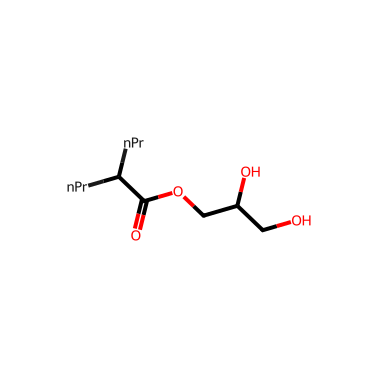 CCCC(CCC)C(=O)OCC(O)CO